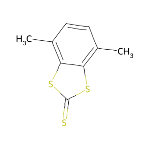 Cc1ccc(C)c2sc(=S)sc12